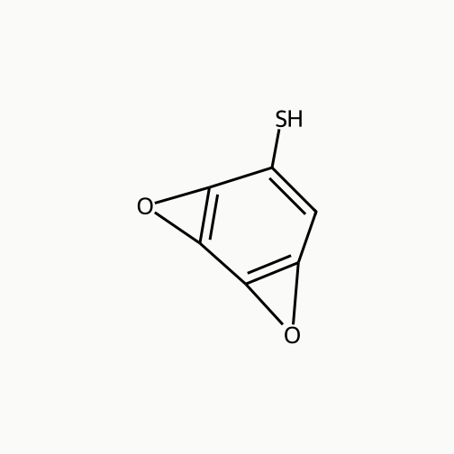 Sc1cc2oc2c2oc12